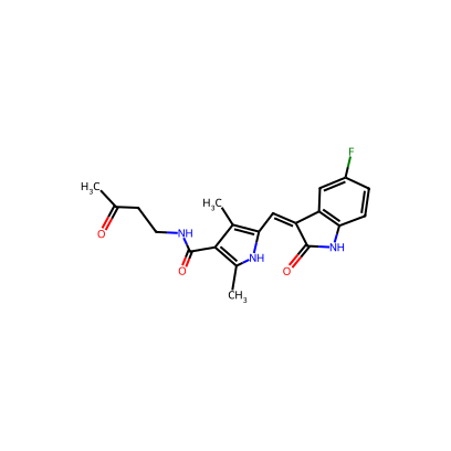 CC(=O)CCNC(=O)c1c(C)[nH]c(/C=C2\C(=O)Nc3ccc(F)cc32)c1C